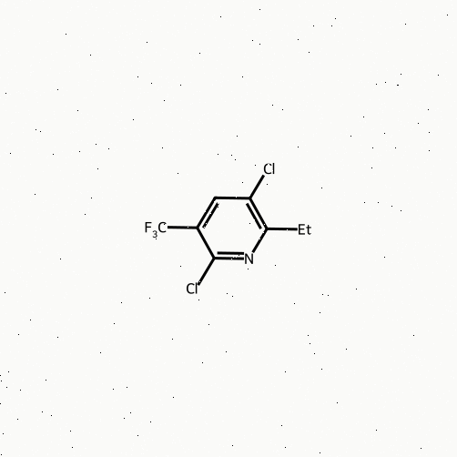 CCc1nc(Cl)c(C(F)(F)F)cc1Cl